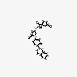 O=C(NC[C@@H]1CN(c2ccc(N3CCc4ccccc4C3)c(F)c2)C(=O)O1)c1ccc(Cl)s1